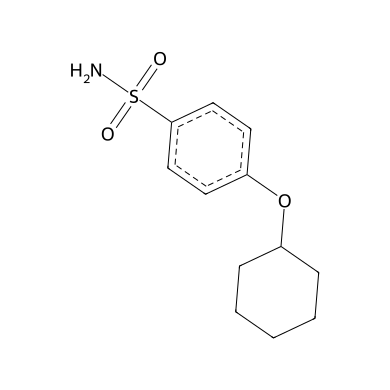 NS(=O)(=O)c1ccc(OC2CCCCC2)cc1